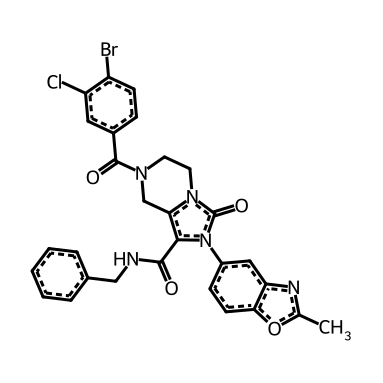 Cc1nc2cc(-n3c(C(=O)NCc4ccccc4)c4n(c3=O)CCN(C(=O)c3ccc(Br)c(Cl)c3)C4)ccc2o1